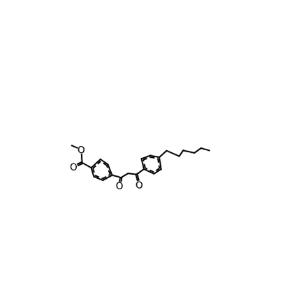 CCCCCCc1ccc(C(=O)CC(=O)c2ccc(C(=O)OC)cc2)cc1